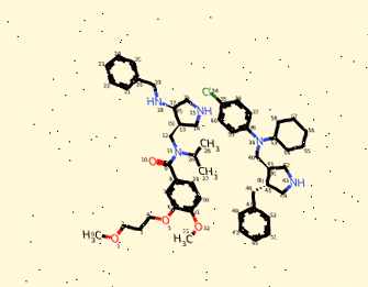 COCCCOc1cc(C(=O)N(C[C@@H]2CNC[C@@H]2NCc2ccccc2)C(C)C)ccc1OC.Clc1ccc(N(C[C@H]2CNC[C@@H]2Cc2ccccc2)C2CCCCC2)cc1